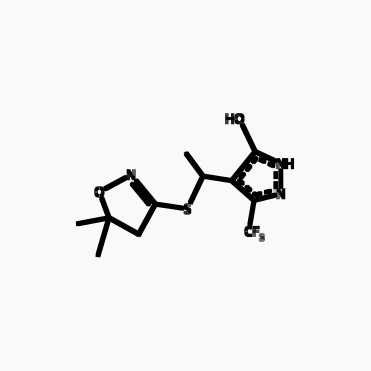 CC(SC1=NOC(C)(C)C1)c1c(C(F)(F)F)n[nH]c1O